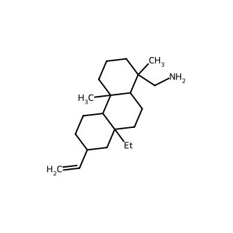 C=CC1CCC2C(CC)(CCC3C(C)(CN)CCCC32C)C1